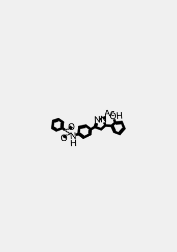 CC(=O)N1N=C(c2ccc(NS(=O)(=O)c3ccccc3)cc2)CC1c1ccccc1O